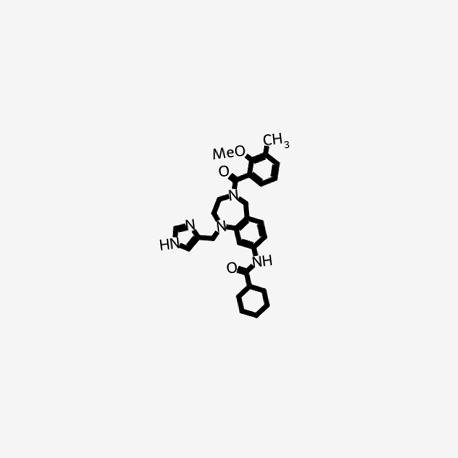 COc1c(C)cccc1C(=O)N1CCN(Cc2c[nH]cn2)c2cc(NC(=O)C3CCCCC3)ccc2C1